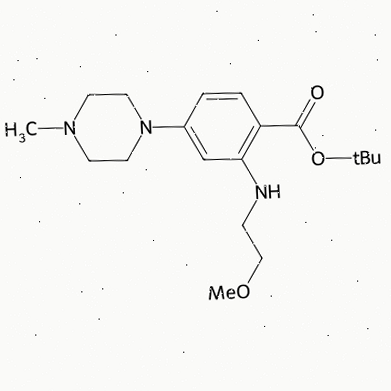 COCCNc1cc(N2CCN(C)CC2)ccc1C(=O)OC(C)(C)C